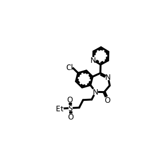 CCS(=O)(=O)CCCN1C(=O)CN=C(c2ccccn2)c2cc(Cl)ccc21